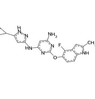 Cc1cc2c(F)c(Oc3nc(N)cc(Nc4cc(C5CC5)[nH]n4)n3)ccc2[nH]1